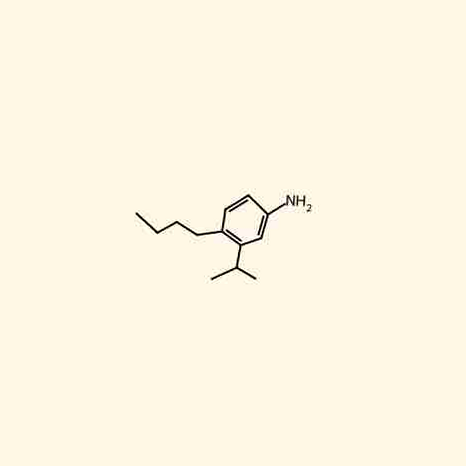 CCCCc1ccc(N)cc1C(C)C